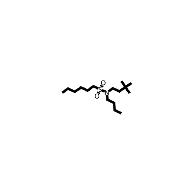 CCCCCCS(=O)(=O)N(CCCC)CCC(C)(C)C